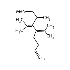 C=CCCC(=C(C)C)C(=C(C)C)C(C)CNC